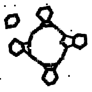 c1ccc2c(c1)-c1nc-2nc2[nH]c(nc3nc(nc4[nH]c(n1)c1ccccc41)-c1ccccc1-3)c1ccccc21.c1ccccc1